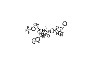 CCc1c(N2CCN(C(=O)c3ncnc(C)c3OCc3ccccc3)CC2)c(=O)n2nc(-c3cc(F)c4c(c3)CCO4)nc2n1CC(=O)Nc1ccc(C(F)(F)F)cc1Cl